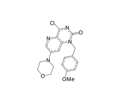 COc1ccc(Cn2c(=O)nc(Cl)c3ncc(N4CCOCC4)cc32)cc1